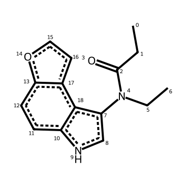 CCC(=O)N(CC)c1c[nH]c2ccc3occc3c12